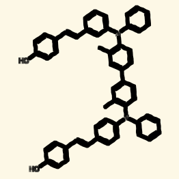 Cc1cc(-c2ccc(N(c3ccccc3)c3cccc(C=Cc4ccc(O)cc4)c3)c(C)c2)ccc1N(c1ccccc1)c1ccc(C=Cc2ccc(O)cc2)cc1